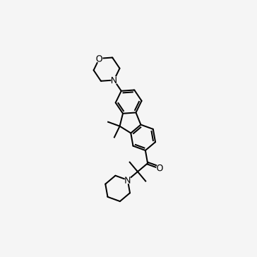 CC1(C)c2cc(C(=O)C(C)(C)N3CCCCC3)ccc2-c2ccc(N3CCOCC3)cc21